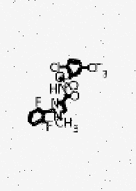 Cn1cc(C(=O)NS(=O)(=O)c2cc(C(F)(F)F)ccc2Cl)nc1-c1c(F)cccc1F